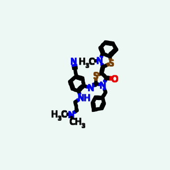 CN(C)CCNc1ccc(C#N)cc1N=C1SC(=C2Sc3ccccc3N2C)C(=O)N1Cc1ccccc1